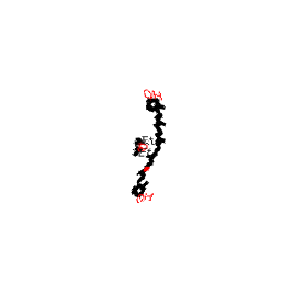 CC1=C[C@H](O)CC(C)(C)[C@H]1/C=C/C(C)=C/C=C/C(C)=C/C=C/C=C(C)/C=C/C=C(C)/C=C/C1=C(C)C[C@@H](O)CC1(C)C.CCC(C)(C)OC(C)(C)CC